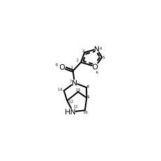 O=C(c1cnco1)N1CC2CNC(C2)C1